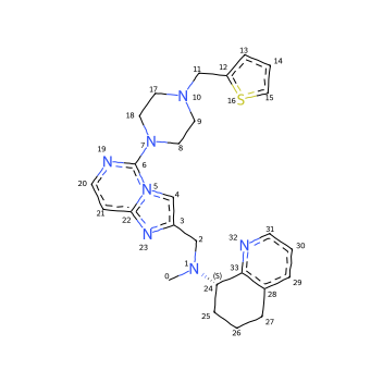 CN(Cc1cn2c(N3CCN(Cc4cccs4)CC3)nccc2n1)[C@H]1CCCc2cccnc21